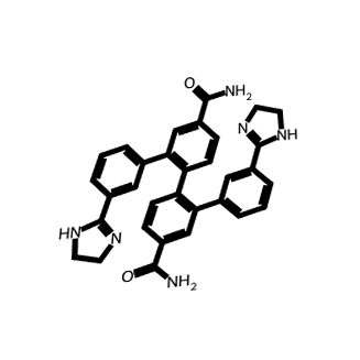 NC(=O)c1ccc(-c2ccc(C(N)=O)cc2-c2cccc(C3=NCCN3)c2)c(-c2cccc(C3=NCCN3)c2)c1